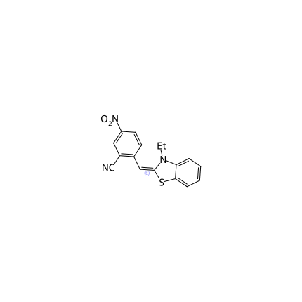 CCN1/C(=C\c2ccc([N+](=O)[O-])cc2C#N)Sc2ccccc21